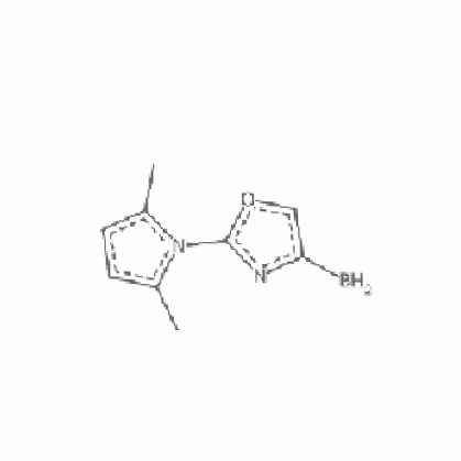 Bc1coc(-n2c(C)ccc2C)n1